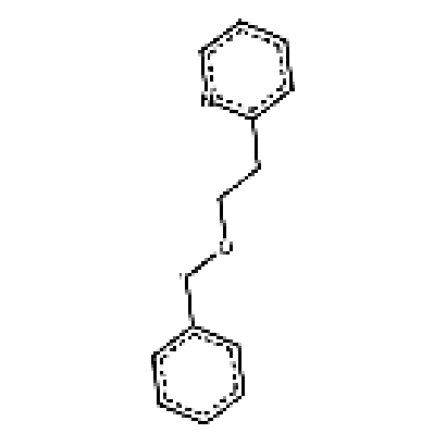 [C](OCCc1ccccn1)c1ccccc1